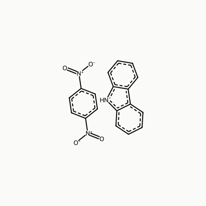 O=[N+]([O-])c1ccc([N+](=O)[O-])cc1.c1ccc2c(c1)[nH]c1ccccc12